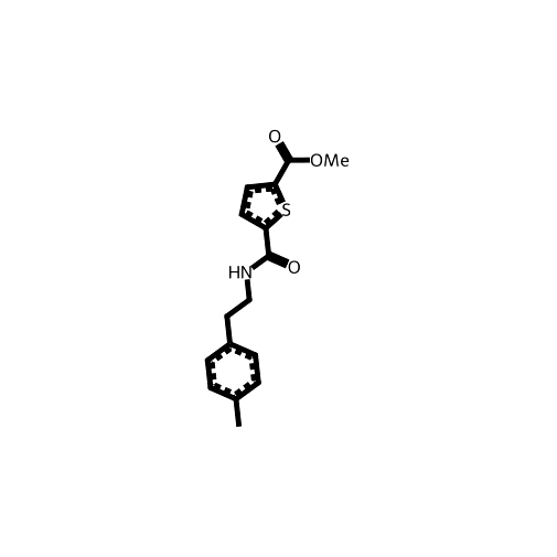 COC(=O)c1ccc(C(=O)NCCc2ccc(C)cc2)s1